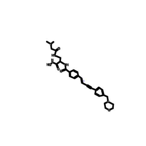 CN(C)CC(=O)NCC(NC(=O)c1ccc(/C=C/C#Cc2ccc(CN3CCOCC3)cc2)cc1)C(=O)NO